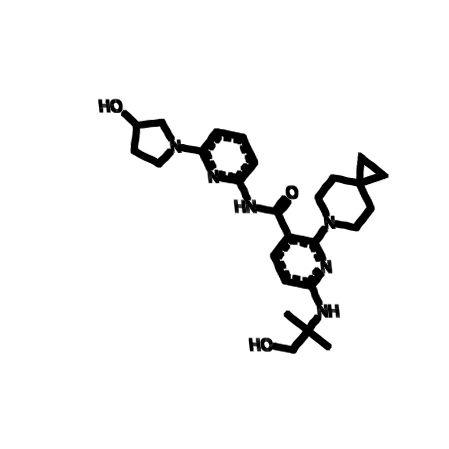 CC(C)(CO)Nc1ccc(C(=O)Nc2cccc(N3CCC(O)C3)n2)c(N2CCC3(CC2)CC3)n1